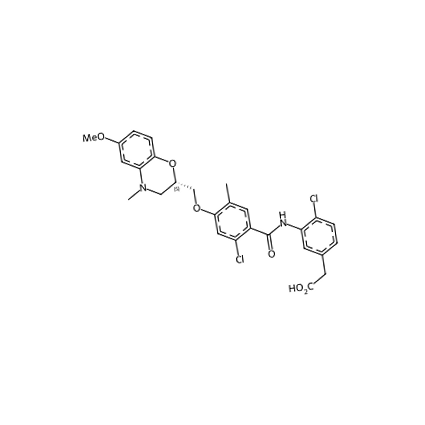 COc1ccc2c(c1)N(C)C[C@@H](COc1cc(Cl)c(C(=O)Nc3cc(CC(=O)O)ccc3Cl)cc1C)O2